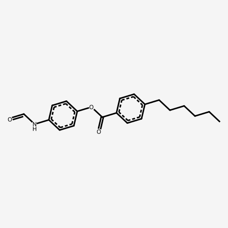 CCCCCCc1ccc(C(=O)Oc2ccc(NC=O)cc2)cc1